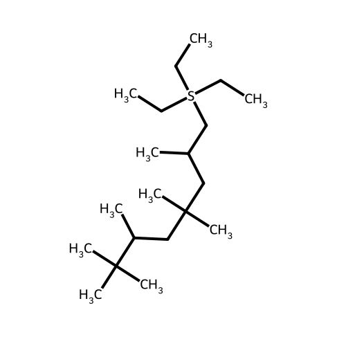 CCS(CC)(CC)CC(C)CC(C)(C)CC(C)C(C)(C)C